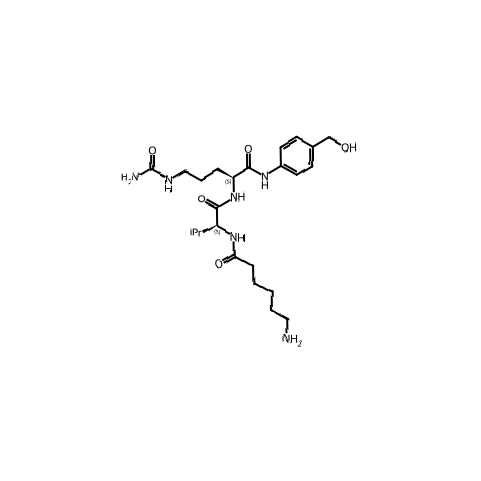 CC(C)[C@H](NC(=O)CCCCCN)C(=O)N[C@@H](CCCNC(N)=O)C(=O)Nc1ccc(CO)cc1